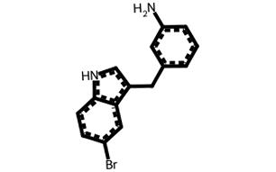 Nc1cccc(Cc2c[nH]c3ccc(Br)cc23)c1